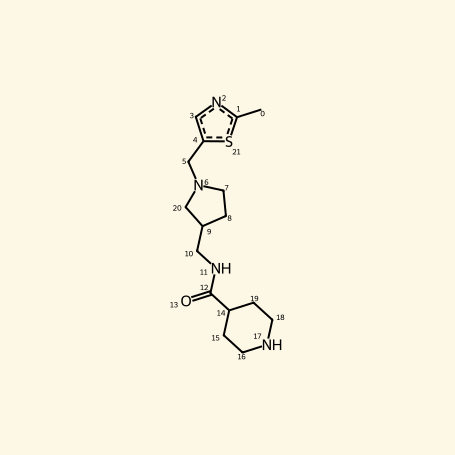 Cc1ncc(CN2CCC(CNC(=O)C3CCNCC3)C2)s1